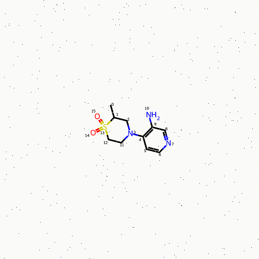 CC1CN(c2ccncc2N)CCS1(=O)=O